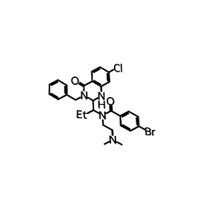 CCC(C1Nc2cc(Cl)ccc2C(=O)N1Cc1ccccc1)N(CCN(C)C)C(=O)c1ccc(Br)cc1